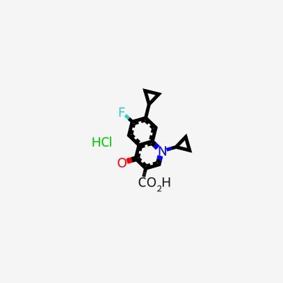 Cl.O=C(O)c1cn(C2CC2)c2cc(C3CC3)c(F)cc2c1=O